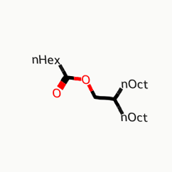 CCCCCCCCC(CCCCCCCC)COC(=O)CCCCCC